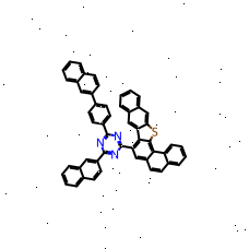 c1ccc2cc(-c3ccc(-c4nc(-c5ccc6ccccc6c5)nc(-c5cc6ccc7ccccc7c6c6sc7cc8ccccc8cc7c56)n4)cc3)ccc2c1